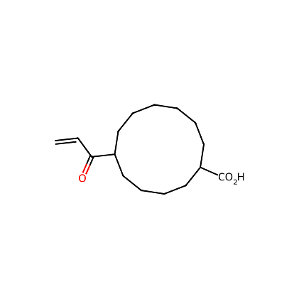 C=CC(=O)C1CCCCCCC(C(=O)O)CCCC1